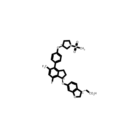 CS(=O)(=O)N1CC[C@H](Oc2ccc(-c3c(C(F)(F)F)cc(F)c4c3CC[C@H]4Oc3ccc4c(c3)OC[C@H]4CC(=O)O)cc2)C1